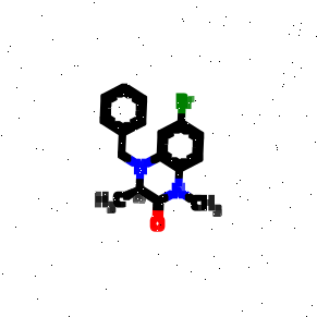 C[C@@H]1C(=O)N(C)c2ccc(Br)cc2N1Cc1ccccc1